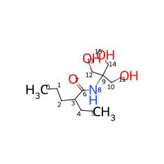 CCCC(CC)C(=O)NC(CO)(CO)CO